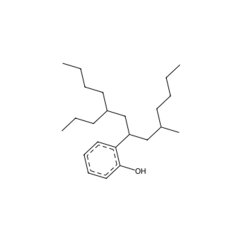 CCCCC(C)CC(CC(CCC)CCCC)c1ccccc1O